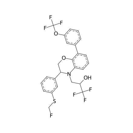 OC(CN1c2cccc(-c3cccc(OC(F)(F)F)c3)c2OCC1c1cccc(SCF)c1)C(F)(F)F